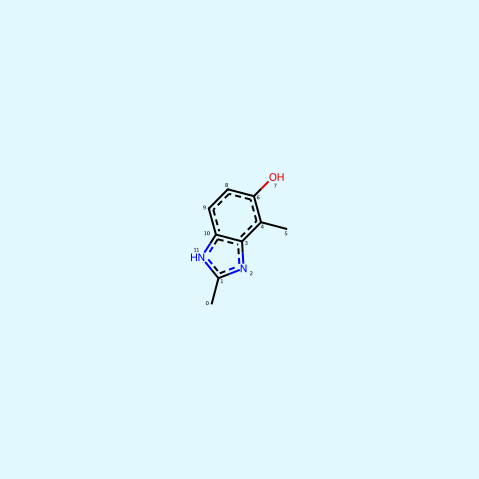 Cc1nc2c(C)c(O)ccc2[nH]1